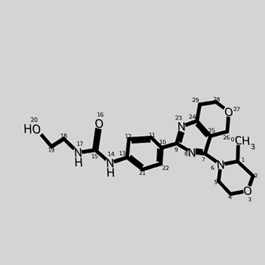 CC1COCCN1c1nc(-c2ccc(NC(=O)NCCO)cc2)nc2c1COCC2